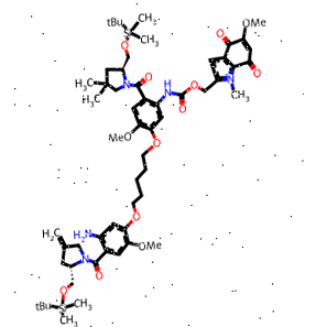 C=C1C[C@@H](CO[Si](C)(C)C(C)(C)C)N(C(=O)c2cc(OC)c(OCCCCCOc3cc(NC(=O)OCc4cc5c(n4C)C(=O)C=C(OC)C5=O)c(C(=O)N4CC(C)(C)C[C@H]4CO[Si](C)(C)C(C)(C)C)cc3OC)cc2N)C1